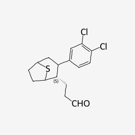 O=CCC[C@@H]1C2CCC(CC1c1ccc(Cl)c(Cl)c1)S2